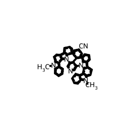 Cn1c2ccccc2c2c1ccc1c3ccccc3n(-c3cncc(-n4c5ccccc5c5ccc6c(c7ccccc7n6C)c54)c3-c3ccc(C#N)cc3)c12